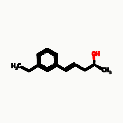 CCc1cccc(/C=C/C[C@H](C)O)c1